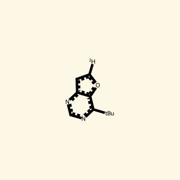 [2H]c1cc2ncnc(C(C)(C)C)c2o1